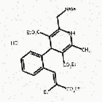 CCOC(=O)C(=Cc1ccccc1C1C(C(=O)OCC)=C(C)NC(CNC)=C1C(=O)OCC)CC.Cl